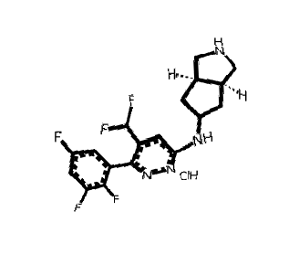 Cl.Fc1cc(F)c(F)c(-c2nnc(NC3C[C@H]4CNC[C@H]4C3)cc2C(F)F)c1